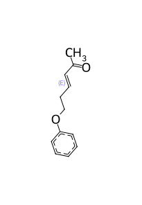 CC(=O)/C=C/CCOc1ccccc1